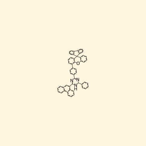 c1ccc(C2N=C(c3ccc(-c4cccc5c4Oc4ccccc4C54c5ccccc5-c5ccccc54)cc3)N=C(c3cc4ccccc4c4ccccc34)N2)cc1